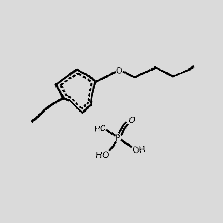 CCCCOc1ccc(C)cc1.O=P(O)(O)O